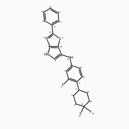 Fc1cc(Nc2c[nH]c3nc(-c4ccccc4)sc23)ccc1C1CCC(F)(F)CC1